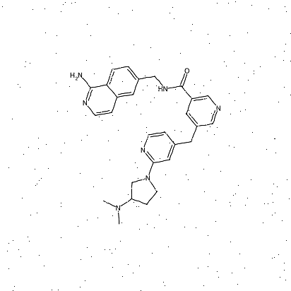 CN(C)C1CCN(c2cc(Cc3cncc(C(=O)NCc4ccc5c(N)nccc5c4)c3)ccn2)C1